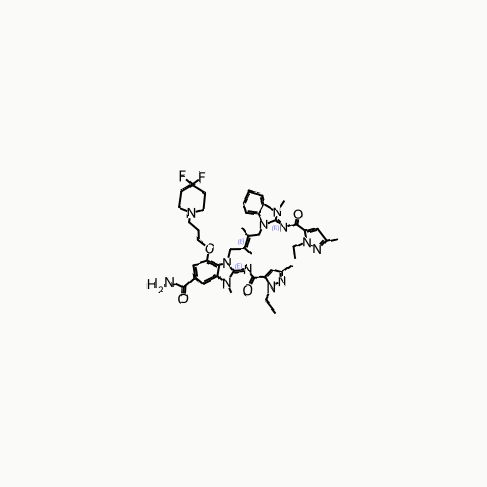 CCn1nc(C)cc1C(=O)/N=c1\n(C)c2ccccc2n1C/C(C)=C(\C)Cn1/c(=N/C(=O)c2cc(C)nn2CC)n(C)c2cc(C(N)=O)cc(OCCCN3CCC(F)(F)CC3)c21